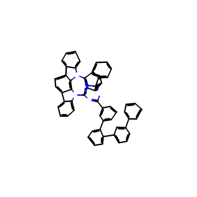 c1ccc(-c2cccc(-c3ccccc3-c3cccc(-c4nc(-c5ccccc5)nc(-n5c6ccccc6c6ccc7c8ccccc8n(-c8ccccc8)c7c65)n4)c3)c2)cc1